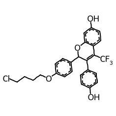 Oc1ccc(C2=C(C(F)(F)F)c3ccc(O)cc3OC2c2ccc(OCCCCCl)cc2)cc1